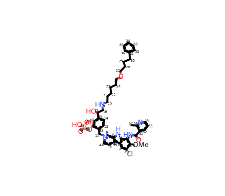 COc1c(Cl)cc2c([nH]c3c[n+](Cc4ccc(C(O)CNCCCCCCOCCCCc5ccccc5)cc4OP(=O)(O)O)ccc32)c1NC(=O)c1cccnc1C